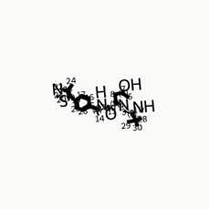 CN[C@H](CN1C[C@H](O)C[C@H]1C(=O)N[C@@H](C)c1ccc(-c2scnc2C)cc1)C(C)(C)C